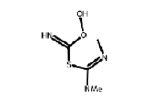 CN=C(NC)SC(=N)OO